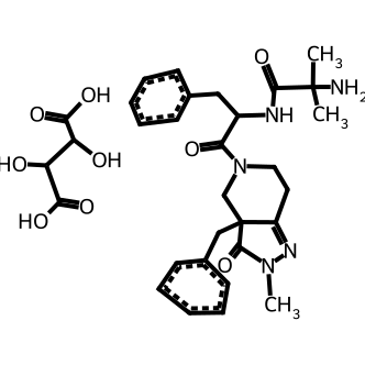 CN1N=C2CCN(C(=O)C(Cc3ccccc3)NC(=O)C(C)(C)N)CC2(Cc2ccccc2)C1=O.O=C(O)C(O)C(O)C(=O)O